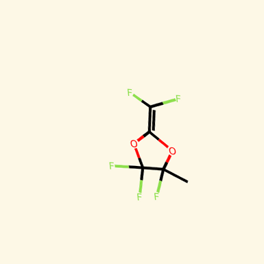 CC1(F)OC(=C(F)F)OC1(F)F